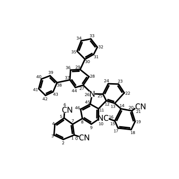 N#Cc1cccc(C#N)c1-c1ccc2c3c(-c4c(C#N)cccc4C#N)cccc3n(-c3cc(-c4ccccc4)cc(-c4ccccc4)c3)c2c1